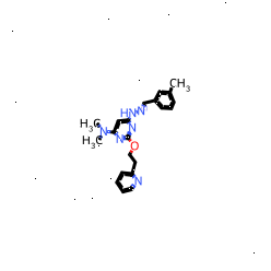 Cc1cccc(/C=N/Nc2cc(N(C)C)nc(OCCc3ccccn3)n2)c1